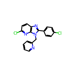 Clc1ccc(-c2nc3ccc(Cl)nc3n2Cc2ccccn2)cc1